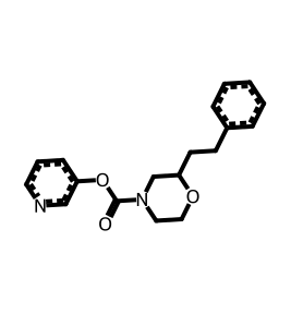 O=C(Oc1cccnc1)N1CCOC(CCc2ccccc2)C1